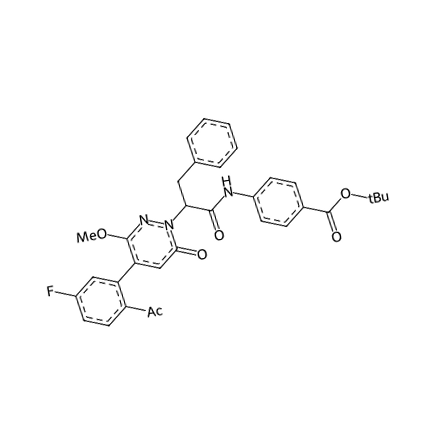 COc1nn(C(Cc2ccccc2)C(=O)Nc2ccc(C(=O)OC(C)(C)C)cc2)c(=O)cc1-c1cc(F)ccc1C(C)=O